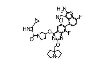 N#Cc1c(N)sc2c(F)ccc(-c3c(Cl)cc4c(O[C@H]5CCN(C(=O)[C@@H]6N[C@H]6C6CC6)C5)nc(OCC56CCCN5CCC6)nc4c3F)c12